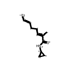 CCC=CCCC=C(C)C(=O)NC1CC1